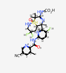 Cc1cc(C#N)cnc1C(=O)Nc1ccc(F)c([C@@]2(C)N=C(NC(=O)O)C(C)(C)[SH]3(=O)NCC(F)(F)C[C@H]23)n1